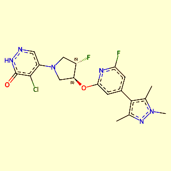 Cc1nn(C)c(C)c1-c1cc(F)nc(O[C@H]2CN(c3cn[nH]c(=O)c3Cl)C[C@@H]2F)c1